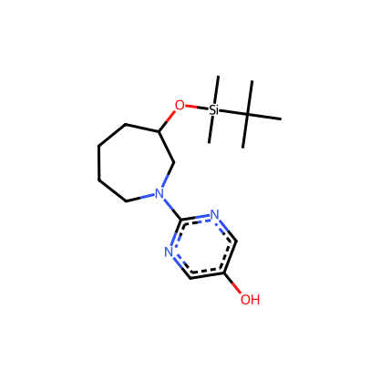 CC(C)(C)[Si](C)(C)OC1CCCCN(c2ncc(O)cn2)C1